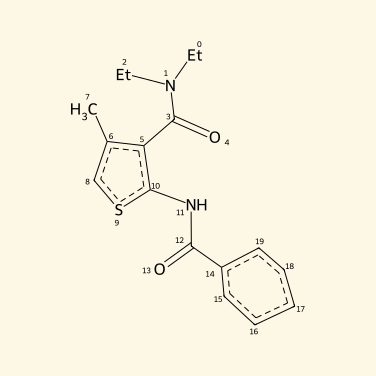 CCN(CC)C(=O)c1c(C)csc1NC(=O)c1ccccc1